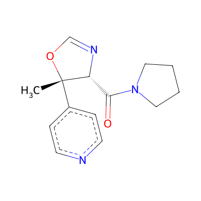 C[C@@]1(c2ccncc2)OC=N[C@@H]1C(=O)N1CCCC1